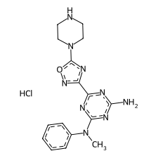 CN(c1ccccc1)c1nc(N)nc(-c2noc(N3CCNCC3)n2)n1.Cl